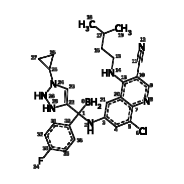 BC(Nc1cc(Cl)c2ncc(C#N)c(NCCC(C)C)c2c1)(C1=CN(C2CC2)NN1)c1ccc(F)cc1